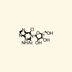 CC(=O)Nc1nc2ncnc-2c(Cl)n1[C@@H]1O[C@H](CO)[C@H](O)[C@H]1O